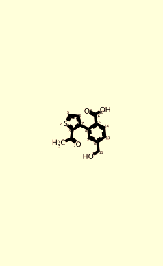 CC(=O)c1sccc1-c1cc(CO)ccc1C(=O)O